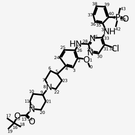 COc1cc(C2CCN(C3CCN(C(=O)OC(C)(C)C)CC3)CC2)ccc1Nc1ncc(Cl)c(Nc2ccccc2P(C)(C)=O)n1